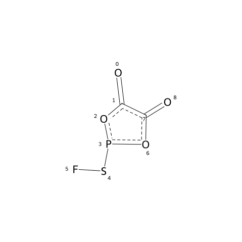 O=c1op(SF)oc1=O